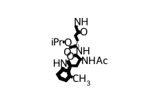 CC(=O)NC(Cc1c[nH]c2cccc(C)c12)C(=O)N[C@@H](CCC(=O)C=N)C(=O)OC(C)C